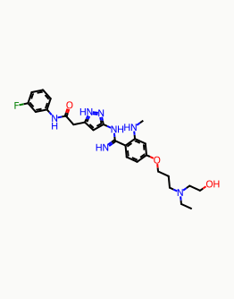 CCN(CCO)CCCOc1ccc(C(=N)Nc2cc(CC(=O)Nc3cccc(F)c3)[nH]n2)c(NC)c1